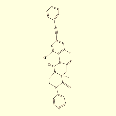 C[C@@]12CC(=O)N(c3c(F)cc(C#Cc4ccccc4)cc3Cl)C(=O)N1CCN(c1ccncc1)C2=O